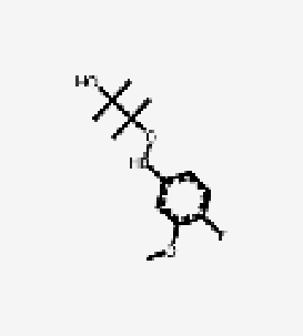 COc1cc(BOC(C)(C)C(C)(C)O)ccc1F